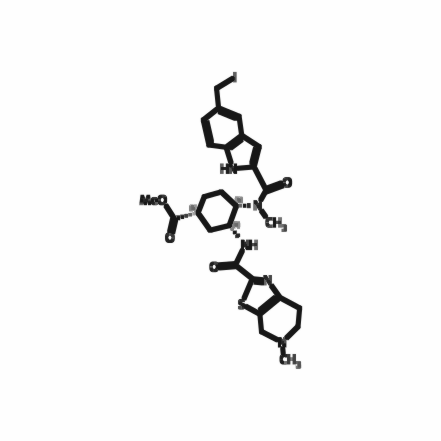 COC(=O)[C@@H]1CC[C@H](N(C)C(=O)c2cc3cc(CI)ccc3[nH]2)[C@H](NC(=O)c2nc3c(s2)CN(C)CC3)C1